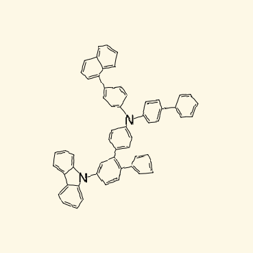 c1ccc(-c2ccc(N(c3ccc(-c4cc(-n5c6ccccc6c6ccccc65)ccc4-c4ccccc4)cc3)c3ccc(-c4cccc5ccccc45)cc3)cc2)cc1